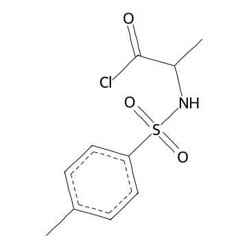 Cc1ccc(S(=O)(=O)NC(C)C(=O)Cl)cc1